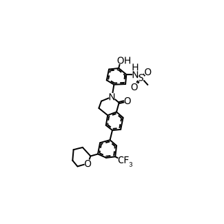 CS(=O)(=O)Nc1cc(N2CCc3cc(-c4cc(C5CCCCO5)cc(C(F)(F)F)c4)ccc3C2=O)ccc1O